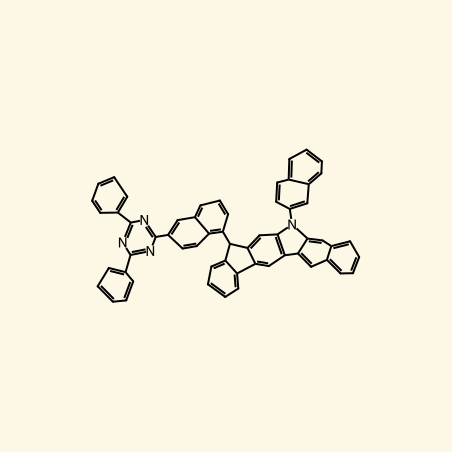 c1ccc(-c2nc(-c3ccccc3)nc(-c3ccc4c(C5c6ccccc6-c6cc7c8cc9ccccc9cc8n(-c8ccc9ccccc9c8)c7cc65)cccc4c3)n2)cc1